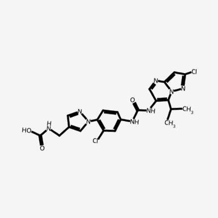 CC(C)c1c(NC(=O)Nc2ccc(-n3cc(CNC(=O)O)cn3)c(Cl)c2)cnc2cc(Cl)nn12